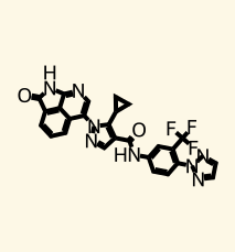 O=C(Nc1ccc(-n2nccn2)c(C(F)(F)F)c1)c1cnn(-c2cnc3c4c(cccc24)C(=O)N3)c1C1CC1